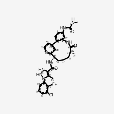 CNC(=O)Nc1ccc2c(c1)NC(=O)[C@H](C)CCC[C@H](NC(=O)C1=C(C)N(c3cccc(Cl)c3F)NN1)c1cc-2ccn1